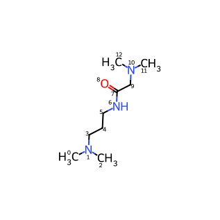 CN(C)CCCNC(=O)CN(C)C